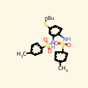 CCCCSc1ccc(NS(=O)(=O)c2ccc(C)cc2)c(NS(=O)(=O)c2ccc(C)cc2)c1